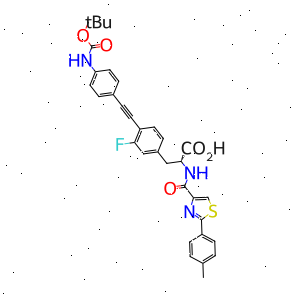 Cc1ccc(-c2nc(C(=O)N[C@@H](Cc3ccc(C#Cc4ccc(NC(=O)OC(C)(C)C)cc4)c(F)c3)C(=O)O)cs2)cc1